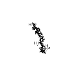 CNC(=O)CCN(C=O)c1cccc2c1cnn2C1CCN(CC2CCN(/C(N)=C/C=C(\N)C(=O)NC3C(C)(C)CC3(C)C)CC2)CC1